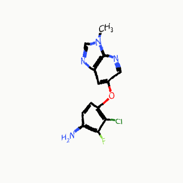 Cn1cnc2cc(Oc3ccc(N)c(F)c3Cl)cnc21